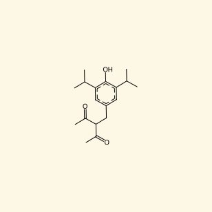 CC(=O)C(Cc1cc(C(C)C)c(O)c(C(C)C)c1)C(C)=O